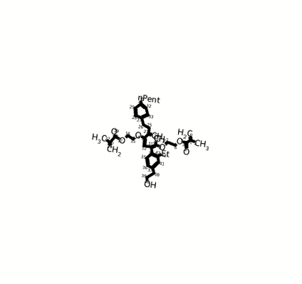 C=C(C)C(=O)OCCO/C(C)=C(/C=C(/OCCOC(=O)C(=C)C)C(=C)CCc1ccc(CCCCC)cc1)c1ccc(CCO)cc1CC